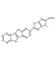 CCCCCCCCc1cc2sc(-c3ccc4c(c3)sc3c5ccccc5sc43)cc2s1